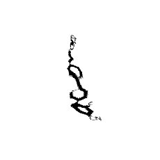 CCOCC=C[C@H]1CC[C@H]([C@H]2CC[C@H](c3ccc(C#N)cc3F)CC2)CC1